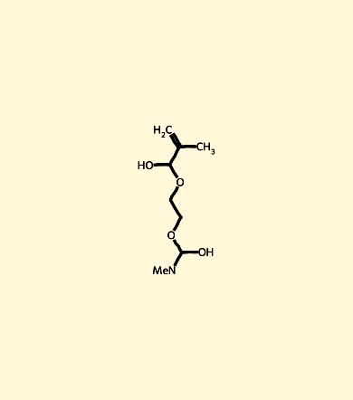 C=C(C)C(O)OCCOC(O)NC